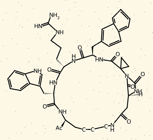 CC(=O)[C@@H]1CCCCNC(=O)C[C@@H]2NC(=O)N(C2=O)C2(CC2)C(=O)N[C@H](Cc2ccc3ccccc3c2)C(=O)N[C@@H](CCCNC(=N)N)C(=O)N[C@@H](Cc2c[nH]c3ccccc23)C(=O)N1